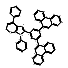 C1=C(c2ccccc2)c2nc(-c3cc(-c4cc5ccccc5c5ccccc45)cc(-c4cc5ccccc5c5ccccc45)c3)n(-c3ccccc3)c2NC1